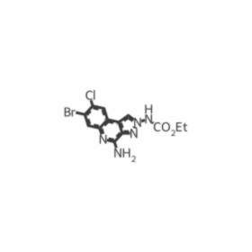 CCOC(=O)Nn1cc2c(n1)c(N)nc1cc(Br)c(Cl)cc12